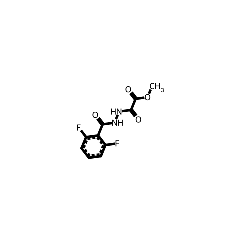 COC(=O)C(=O)NNC(=O)c1c(F)cccc1F